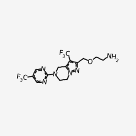 NCCOCc1nn2c(c1C(F)(F)F)CN(c1ncc(C(F)(F)F)cn1)CC2